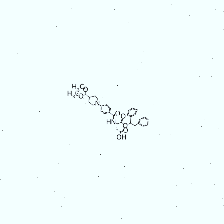 COC(OC)C1CCN(c2ccc(C(=O)N[C@@H](CC(=O)O)C(=O)OC(Cc3ccccc3)c3ccccc3)cc2)CC1